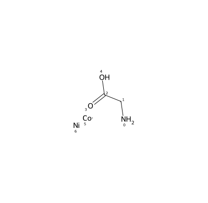 NCC(=O)O.[Co].[Ni]